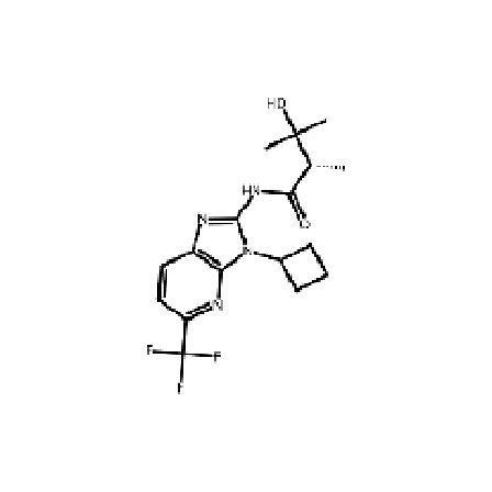 C[C@H](C(=O)Nc1nc2ccc(C(F)(F)F)nc2n1C1CCC1)C(C)(C)O